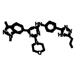 CCCc1nnc(-c2ccc(Nc3cc(-c4ccc5c(C)nn(C)c5c4)nc(N4CCOCC4)n3)cc2)[nH]1